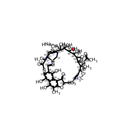 CO[C@H]1/C=C/O[C@@]2(C)Oc3c(C)c(O)c4c(O)c(c(/C=N/N5CCN(C)CC5)c(O)c4c3C2=O)NC(=O)/C(C)=C\C=C\[C@H](C)[C@H](O)[C@@H](C)[C@@H](O)[C@@H](C)[C@H](OC(C)=O)[C@@H]1C.[NaH]